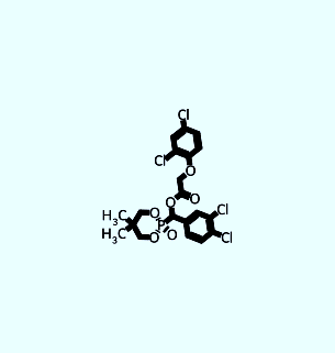 CC1(C)COP(=O)(C(OC(=O)COc2ccc(Cl)cc2Cl)c2ccc(Cl)c(Cl)c2)OC1